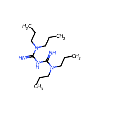 CCCN(CCC)C(=N)NC(=N)N(CCC)CCC